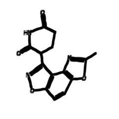 Cc1nc2c(ccc3onc(C4CCC(=O)NC4=O)c32)o1